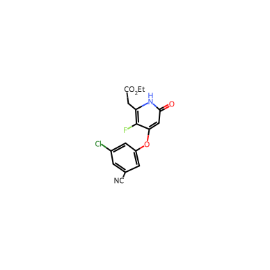 CCOC(=O)Cc1[nH]c(=O)cc(Oc2cc(Cl)cc(C#N)c2)c1F